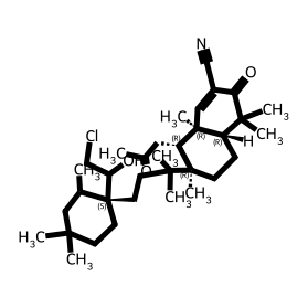 CC(=O)C[C@@H]1[C@@]2(C)C=C(C#N)C(=O)C(C)(C)[C@@H]2CC[C@@]1(C)C(C)(C)CC[C@@]1(C(O)CCl)CCC(C)(C)CC1C